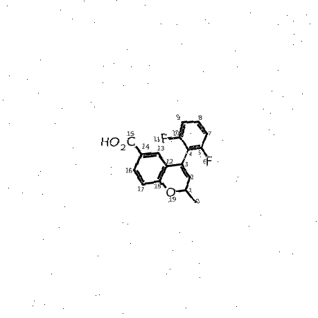 CC1C=C(c2c(F)cccc2F)c2cc(C(=O)O)ccc2O1